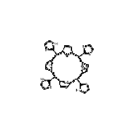 C1=Cc2nc1c(-c1ncc[nH]1)c1ccc([nH]1)c(-c1ncc[nH]1)c1nc(c(-c3ncc[nH]3)c3ccc([nH]3)c2-c2ncc[nH]2)C=C1